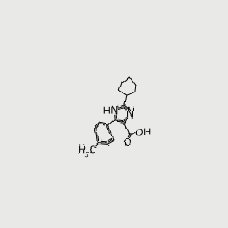 Cc1ccc(-c2[nH]c(C3CCCCC3)nc2C(=O)O)cc1